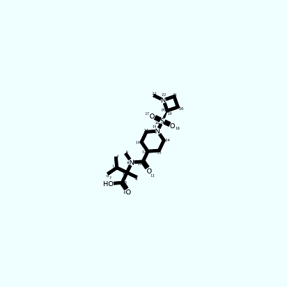 CC(C)C(C)(C(=O)O)N(C)C(=O)C1CCN(S(=O)(=O)[C@@H]2CCN2C)CC1